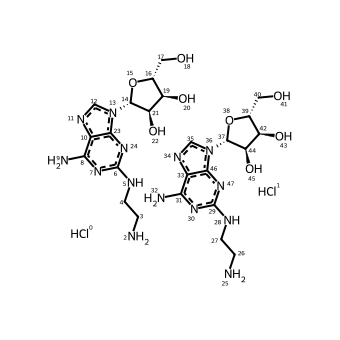 Cl.Cl.NCCNc1nc(N)c2ncn([C@@H]3O[C@H](CO)[C@@H](O)[C@H]3O)c2n1.NCCNc1nc(N)c2ncn([C@@H]3O[C@H](CO)[C@@H](O)[C@H]3O)c2n1